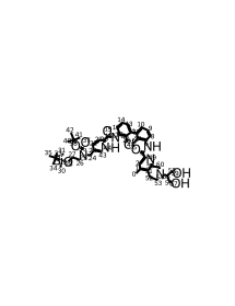 Cc1cc(C(=O)Nc2cccc(-c3cccc(NC(=O)c4ccc(CN(CCO[Si](C)(C)C(C)(C)C)C(=O)OC(C)(C)C)cn4)c3C)c2Cl)nc2c1CCN(C(CO)CO)C2